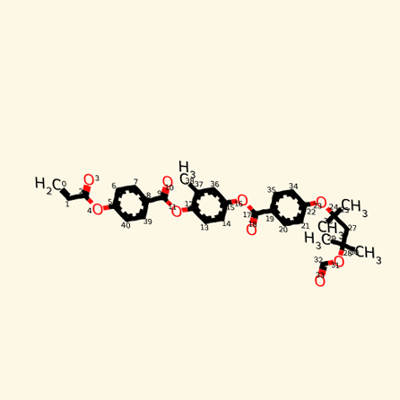 C=CC(=O)Oc1ccc(C(=O)Oc2ccc(OC(=O)c3ccc(OC(C)(C)CC(C)(C)OC=O)cc3)cc2C)cc1